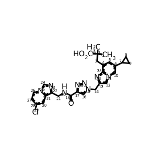 CC(C)(Cc1cc(C2CC2)cn2cc(Cn3cc(C(=O)NCc4ncn5ccc(Cl)cc45)nn3)nc12)C(=O)O